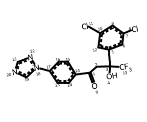 O=C(CC(O)(c1cc(Cl)cc(Cl)c1)C(F)(F)F)c1ccc(-n2cncn2)cc1